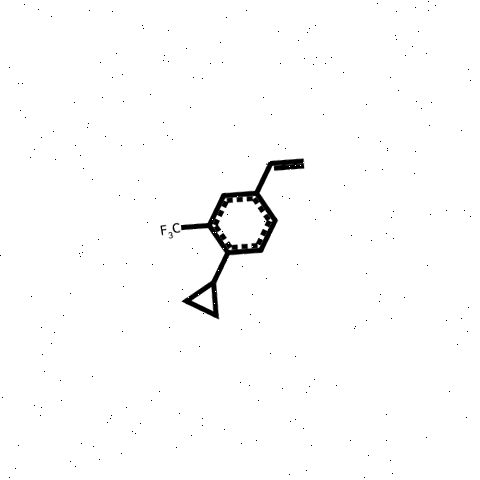 C=[C]c1ccc(C2CC2)c(C(F)(F)F)c1